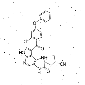 N#C[C@H]1CC[C@@]2(C1)Nc1c(cnc3[nH]cc(C(=O)c4ccc(Oc5ccccc5)cc4Cl)c13)NC2=O